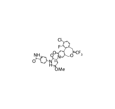 CO[C@@H](C)C[C@@H](C(=O)Nc1ccc(C(N)=O)cc1)n1cc2c(cc1=O)-c1c(ccc(Cl)c1F)C[C@@H](C(F)(F)F)OC2